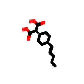 CCCC=C[C@H]1CC[C@H](C(C(=O)O)C(=O)O)CC1